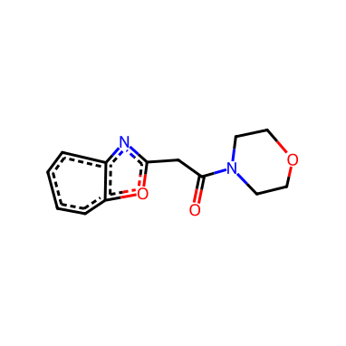 O=C(Cc1nc2ccccc2o1)N1CCOCC1